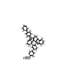 CCCCc1ccc(-c2ccc(-n3c4ccccc4c4ccc5c(c6ccccc6n5-c5ccc(-c6ccccc6)cc5)c43)cc2)cc1